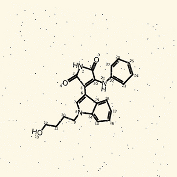 O=C1NC(=O)C(c2cn(CCCCO)c3ccccc23)=C1Nc1ccccc1